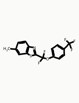 Cc1ccc2nc(C(F)(F)Oc3ccc(C(F)(F)F)cc3)sc2c1